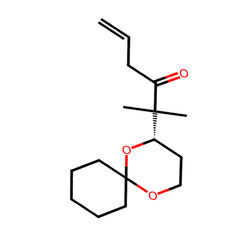 C=CCC(=O)C(C)(C)[C@@H]1CCOC2(CCCCC2)O1